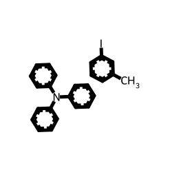 Cc1cccc(I)c1.c1ccc(N(c2ccccc2)c2ccccc2)cc1